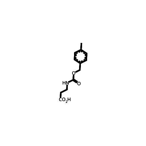 Cc1ccc(COC(=O)NCCC(=O)O)cc1